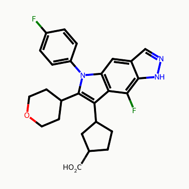 O=C(O)C1CCC(c2c(C3CCOCC3)n(-c3ccc(F)cc3)c3cc4cn[nH]c4c(F)c23)C1